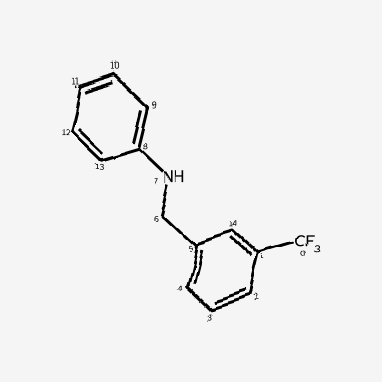 FC(F)(F)c1cccc(CNc2cc[c]cc2)c1